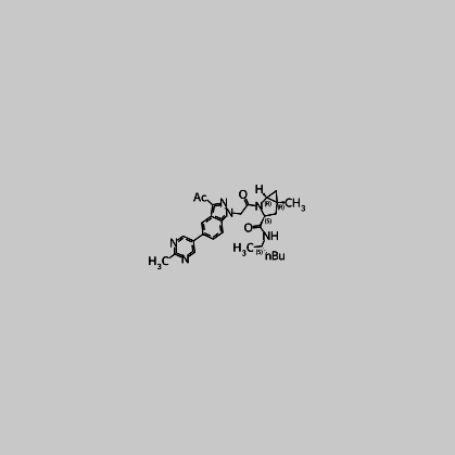 CCCC[C@H](C)NC(=O)[C@@H]1C[C@@]2(C)C[C@H]2N1C(=O)Cn1nc(C(C)=O)c2cc(-c3cnc(C)nc3)ccc21